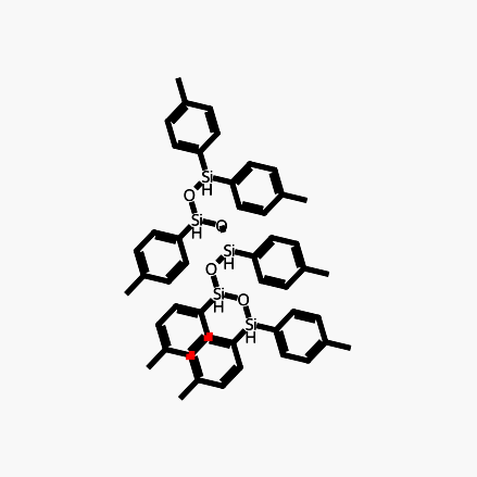 Cc1ccc([SiH](O[SiH](O[SiH](c2ccc(C)cc2)c2ccc(C)cc2)c2ccc(C)cc2)O[SiH](O[SiH](c2ccc(C)cc2)c2ccc(C)cc2)c2ccc(C)cc2)cc1